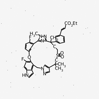 CCOC(=O)/C=C/c1cccc(C2(C)CCS(=O)(=O)CC(C)(C)c3cnn(c3)Cc3c(c(F)cc4[nH]ccc34)Oc3ccc(F)c(c3)-c3nc2nn3C)c1